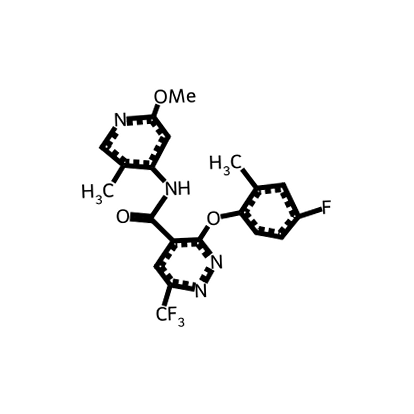 COc1cc(NC(=O)c2cc(C(F)(F)F)nnc2Oc2ccc(F)cc2C)c(C)cn1